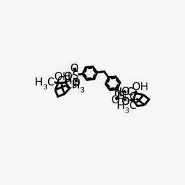 CC1(C)C2CC(OS(=O)(=O)c3ccc(Cc4ccc(S(=O)(=O)OC5CC6CC(C6(C)C)C5(C)O)cc4)cc3)C(C)(O)C1C2